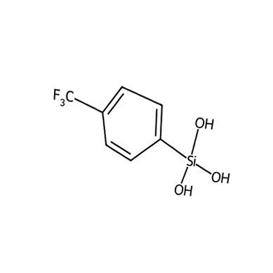 O[Si](O)(O)c1ccc(C(F)(F)F)cc1